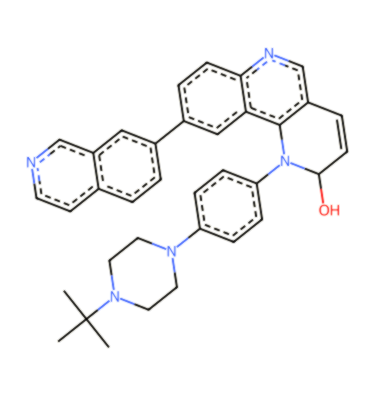 CC(C)(C)N1CCN(c2ccc(N3c4c(cnc5ccc(-c6ccc7ccncc7c6)cc45)C=CC3O)cc2)CC1